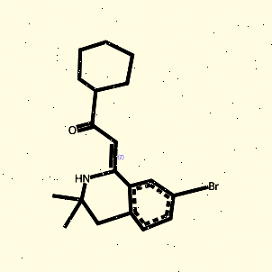 CC1(C)Cc2ccc(Br)cc2/C(=C/C(=O)C2CCCCC2)N1